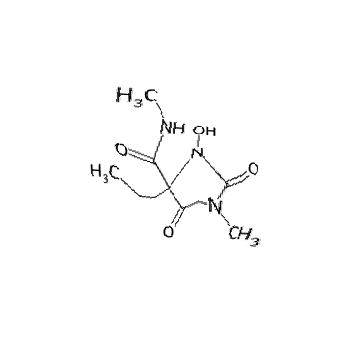 CCC1(C(=O)NC)C(=O)N(C)C(=O)N1O